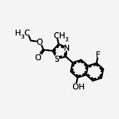 CCOC(=O)c1sc(-c2cc(O)c3cccc(F)c3c2)nc1C